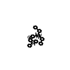 c1ccc(-c2cccc(-c3nc(-c4cccc(-c5ccccc5)c4)nc(-c4ccc5oc6ccc7c(-c8ccccc8)nc8ccccc8c7c6c5c4)n3)c2)cc1